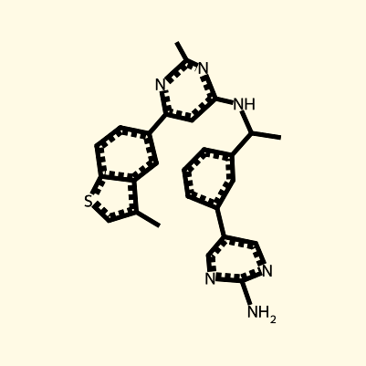 Cc1nc(NC(C)c2cccc(-c3cnc(N)nc3)c2)cc(-c2ccc3scc(C)c3c2)n1